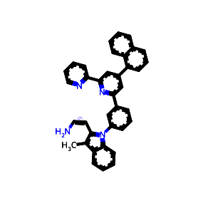 Cc1c(/C=C\N)n(-c2cccc(-c3cc(-c4cccc5ccccc45)cc(-c4ccccn4)n3)c2)c2ccccc12